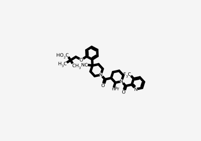 CCCC1C(C(=O)N2CCC(C#N)(c3ccccc3OCC(C)(C)C(=O)O)CC2)CCCN1C(=O)c1ncccc1C(F)(F)F